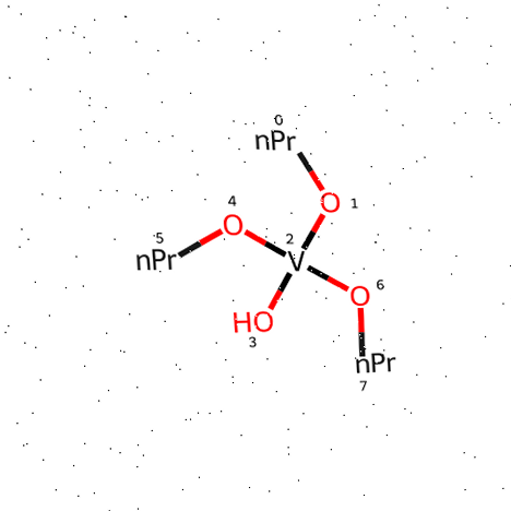 CCC[O][V]([OH])([O]CCC)[O]CCC